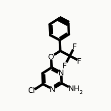 Nc1nc(Cl)cc(OC(c2cc#ccc2)C(F)(F)F)n1